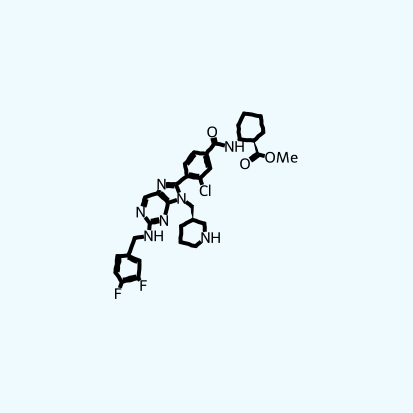 COC(=O)[C@@H]1CCCC[C@H]1NC(=O)c1ccc(-c2nc3cnc(NCc4ccc(F)c(F)c4)nc3n2C[C@@H]2CCCNC2)c(Cl)c1